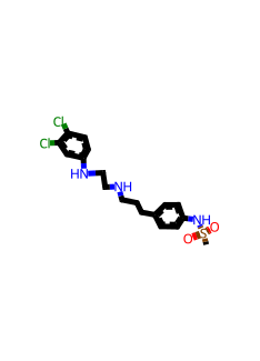 CS(=O)(=O)Nc1ccc(CCCNCCNc2ccc(Cl)c(Cl)c2)cc1